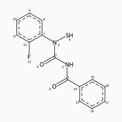 O=C(NC(=O)N(S)c1ccccc1F)c1ccccc1